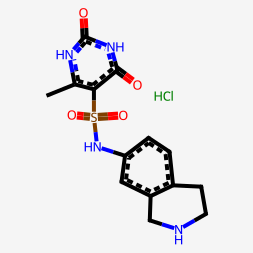 Cc1[nH]c(=O)[nH]c(=O)c1S(=O)(=O)Nc1ccc2c(c1)CNCC2.Cl